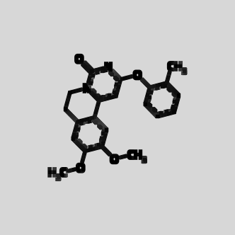 COc1cc2c(cc1OC)-c1cc(Oc3ccccc3C)nc(=O)n1CC2